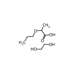 CCCOC(C)C(=O)O.OCCO